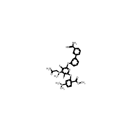 COC(=O)c1ccc(N(C)C)cc1Oc1nc(Oc2cccc(-c3cccc(C(=N)N)c3)c2)c(F)c(N(C)CC(N)=O)c1F